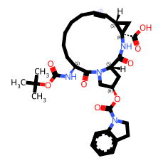 CC(C)(C)OC(=O)N[C@H]1CCCCC/C=C\[C@@H]2C[C@@]2(C(=O)O)NC(=O)[C@@H]2C[C@@H](OC(=O)N3CCc4ccccc43)CN2C1=O